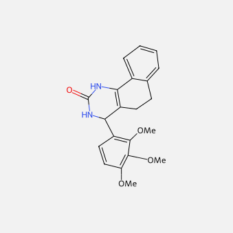 COc1ccc(C2NC(=O)NC3=C2CCc2ccccc23)c(OC)c1OC